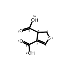 O=C(O)C1=CSCC1C(=O)O